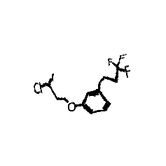 FC(F)(F)CCc1cccc(OCCC(Cl)I)c1